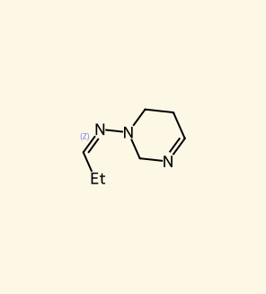 CC/C=N\N1CCC=NC1